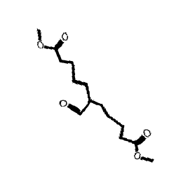 COC(=O)CCCCC(C=O)CCCCC(=O)OC